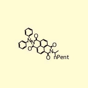 CCCCCC(C)N1C(=O)c2ccc3c4c(ccc(c24)C1=O)C(=O)N(N(c1ccccc1)c1ccccc1)C3=O